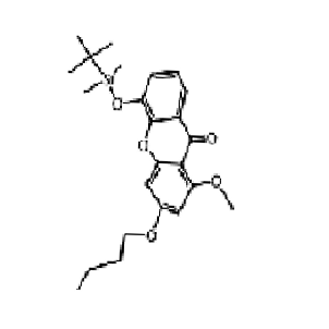 CCCCOc1cc(OC)c2c(=O)c3cccc(O[Si](C)(C)C(C)(C)C)c3oc2c1